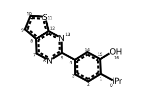 CC(C)c1ccc(-c2ncc3ccsc3n2)cc1O